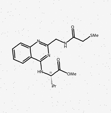 COC(=O)[C@@H](Nc1nc(CNC(=O)CSC)nc2ccccc12)C(C)C